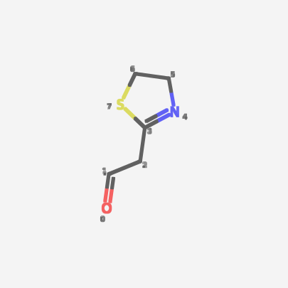 O=[C]CC1=NCCS1